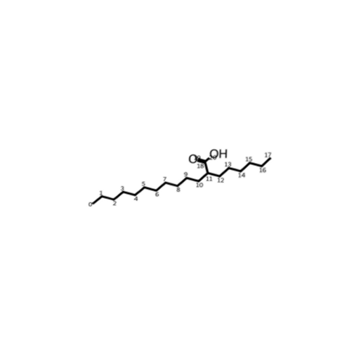 CCCCCCCCCCCC(CCCCCC)C(=O)O